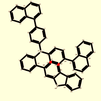 c1ccc(N(c2ccc(-c3cccc4ccccc34)cc2)c2ccc(-c3cccc4ccccc34)cc2)c(-c2ccc3c(c2)sc2ccccc23)c1